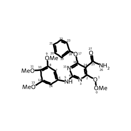 COOc1nc(Nc2cc(OC)c(OC)c(OC)c2)nc(Oc2ccccc2)c1C(N)=O